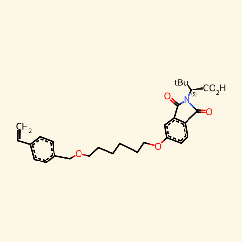 C=Cc1ccc(COCCCCCCOc2ccc3c(c2)C(=O)N([C@H](C(=O)O)C(C)(C)C)C3=O)cc1